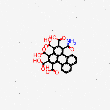 NC(=O)c1c(C(=O)O)c(C(=O)O)c2c(C(=O)O)c(C(=O)O)c(C(=O)O)c3c4cccc5cccc(c1c23)c54